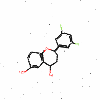 Oc1ccc2c(c1)C(O)CC(c1cc(F)cc(F)c1)O2